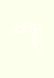 Cl.Cl.Cl.Cl.Cl.Cl.Cl.[KH].[LiH].[Ti].[Ti]